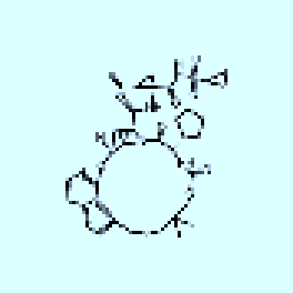 C=C[C@@H]1C[C@]1(NC(=O)[C@@H]1C[C@H]2Oc3nccc4ccc(cc34)CCCC(C)(C)COC(=O)N[C@@H](C3CCCC3)C(=O)N1C2CC)C(=O)NS(=O)(=O)C1CC1